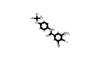 O=C(Nc1ccc(OC(F)(F)Cl)cc1)c1cc(Br)c(F)c([N+](=O)[O-])c1